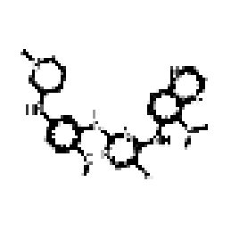 COc1ccc(NC2CCCN(C)C2)cc1Nc1ncc(Br)c(Nc2ccc3nccnc3c2P(C)C)n1